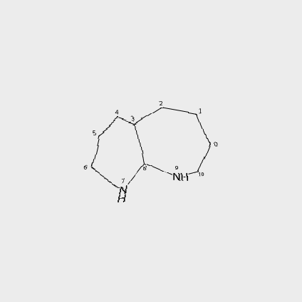 C1CCC2CCCNC2NC1